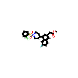 COC(=O)Cc1cc(C2CCN(S(=O)(=O)c3ccccc3Cl)CC2)c2cc(F)ccc2c1